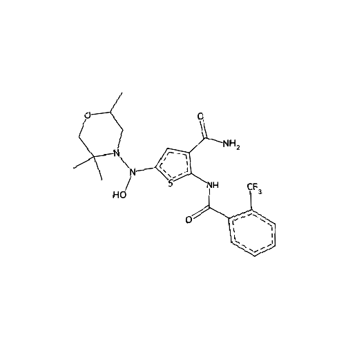 CC1CN(N(O)c2cc(C(N)=O)c(NC(=O)c3ccccc3C(F)(F)F)s2)C(C)(C)CO1